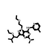 CCOCCn1nc(CC(OCC)C(C)C)c2nc(N(C)C)nc(Nc3cc(C)ccn3)c21